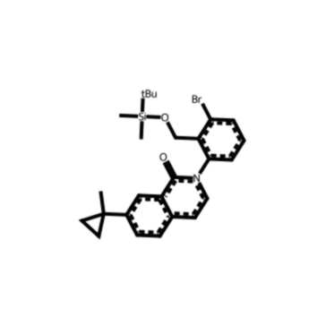 CC1(c2ccc3ccn(-c4cccc(Br)c4CO[Si](C)(C)C(C)(C)C)c(=O)c3c2)CC1